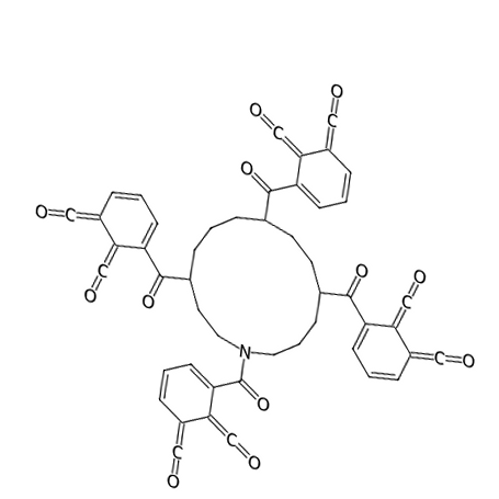 O=C=c1cccc(C(=O)C2CCCC(C(=O)c3cccc(=C=O)c3=C=O)CCN(C(=O)c3cccc(=C=O)c3=C=O)CCCC(C(=O)c3cccc(=C=O)c3=C=O)CC2)c1=C=O